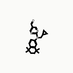 CC1(C)CCC(C)(C)c2cc(N(CC3CC3)c3ncc(C=O)cn3)ccc21